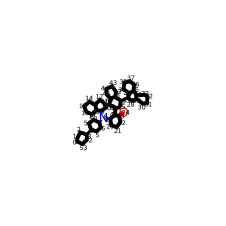 c1ccc(-c2ccc(N(c3cccc4ccccc34)c3cccc4oc5c(-c6cc7ccccc7c7ccccc67)c6ccccc6cc5c34)cc2)cc1